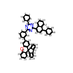 c1ccc(-c2nc(-c3cccc(-c4ccc5c(c4)Oc4ccccc4C54c5ccccc5-c5ccccc54)c3)nc(-c3ccc(-c4ccccc4)c4ccccc34)n2)cc1